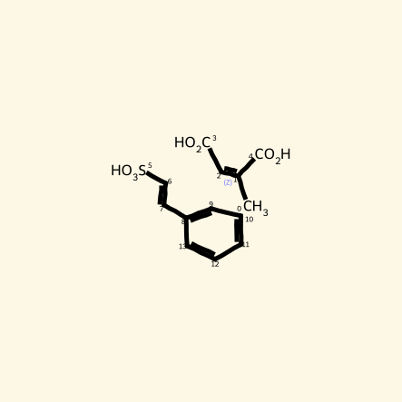 C/C(=C/C(=O)O)C(=O)O.O=S(=O)(O)C=Cc1ccccc1